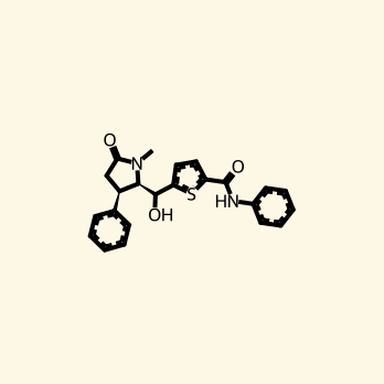 CN1C(=O)C[C@H](c2ccccc2)[C@@H]1C(O)c1ccc(C(=O)Nc2ccccc2)s1